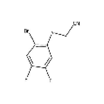 N#CCSc1cc(F)c(F)cc1Br